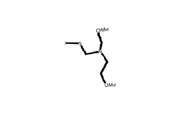 COCCN(COC)CSI